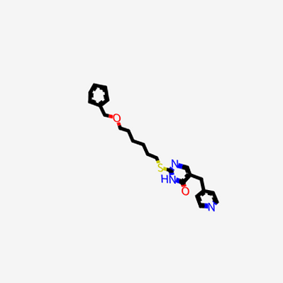 O=c1[nH]c(SCCCCCCOCc2ccccc2)ncc1Cc1ccncc1